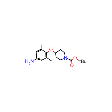 Cc1cc(N)cc(C)c1OC1CCN(C(=O)OC(C)(C)C)CC1